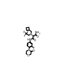 NC(=O)[C@@H](C(=O)Nc1ccc(N2CCOCC2=O)c(F)c1)N(CC1CCC1)CC(F)(F)F